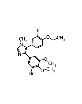 CCOc1ccc(-c2c(-c3cc(Br)c(OC)c(OC)c3)ncn2C)cc1F